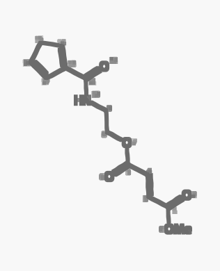 COC(=O)/C=C/C(=O)OCCNC(=O)C1=CCC=C1